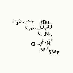 CSc1nc(Cl)c2n1CCN(C(=O)OC(C)(C)C)C2CCc1ccc(C(F)(F)F)cc1